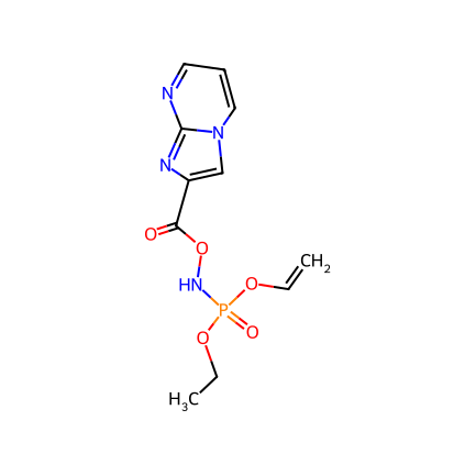 C=COP(=O)(NOC(=O)c1cn2cccnc2n1)OCC